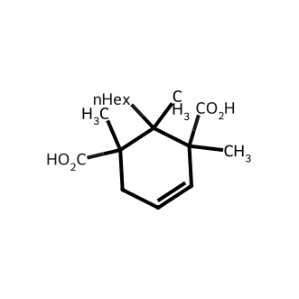 CCCCCCC1(C)C(C)(C(=O)O)C=CCC1(C)C(=O)O